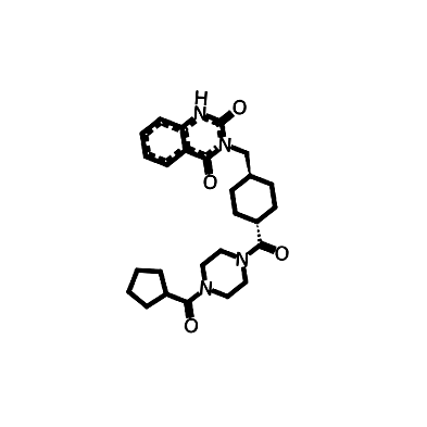 O=C(C1CCCC1)N1CCN(C(=O)[C@H]2CC[C@H](Cn3c(=O)[nH]c4ccccc4c3=O)CC2)CC1